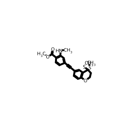 CNc1cc(C#Cc2ccc3c(c2)C(SC)(SC)CCO3)ccc1C(=O)OC